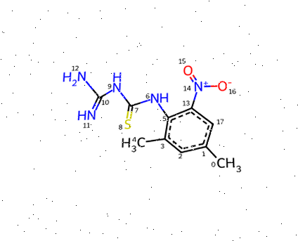 Cc1cc(C)c(NC(=S)NC(=N)N)c([N+](=O)[O-])c1